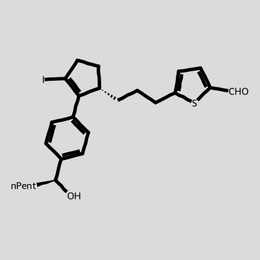 CCCCC[C@H](O)c1ccc(C2=C(I)CC[C@@H]2CCCc2ccc(C=O)s2)cc1